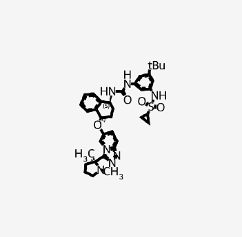 CN1CCC[C@@]1(C)c1nnc2ccc(O[C@@H]3CC[C@H](NC(=O)Nc4cc(NS(=O)(=O)C5CC5)cc(C(C)(C)C)c4)c4ccccc43)cn12